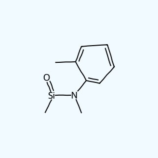 Cc1ccccc1N(C)[Si](C)=O